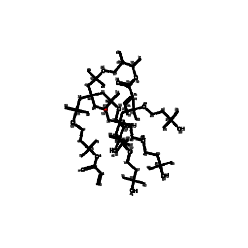 C=CC(=O)OC(C)(C)CCOC(C)(C)CC(COCC(CC(C)(C)OCCC(C)(C)O)(CC(C)(C)OCCC(C)(C)O)NCOCCC(C)(C)O)(CC(C)(C)OCCC(C)(C)O)CC(C)(C)OCC(C)C(C)OC(=O)/C=C/C